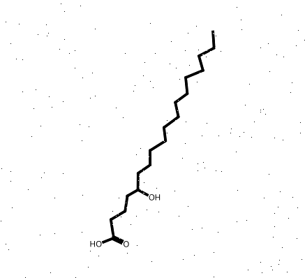 CCCCCCCCCCCCCC(O)CCCC(=O)O